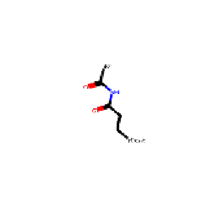 CCCCCCCC(=O)NC(=O)C(C)C